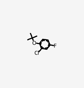 CC(C)(C)Oc1ccc(F)cc1Cl